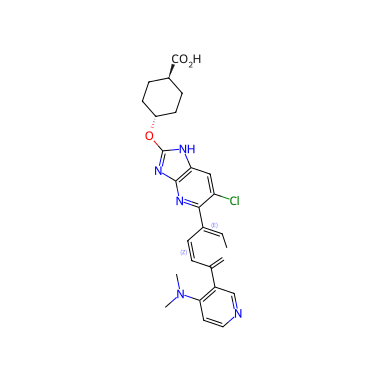 C=C(/C=C\C(=C/C)c1nc2nc(O[C@H]3CC[C@H](C(=O)O)CC3)[nH]c2cc1Cl)c1cnccc1N(C)C